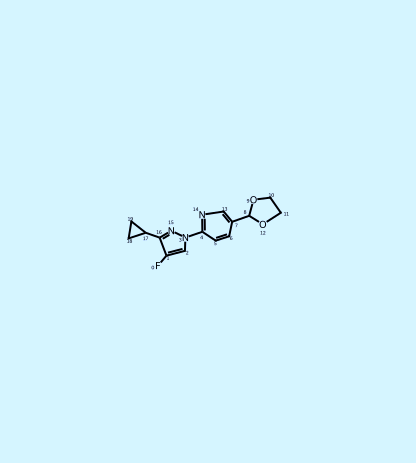 Fc1cn(-c2ccc(C3OCCO3)cn2)nc1C1CC1